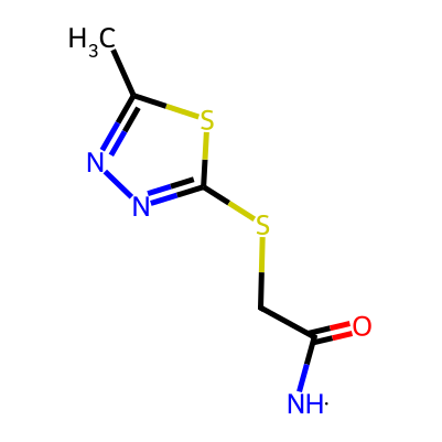 Cc1nnc(SCC([NH])=O)s1